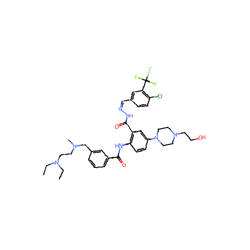 CCN(CC)CCN(C)Cc1cccc(C(=O)Nc2ccc(N3CCN(CCO)CC3)cc2C(=O)N/N=C\c2ccc(Cl)c(C(F)(F)F)c2)c1